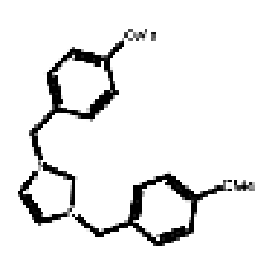 COc1ccc(CN2C=CN(Cc3ccc(OC)cc3)C2)cc1